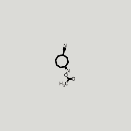 CC(=O)ON=C1CCCCC(C#N)CC1